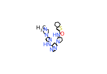 CN1CCN(c2ccc(Nc3cc(N4CCC[C@H](NC(=O)c5cc6c(s5)CCCC6)C4)cn4ccnc34)nc2)CC1